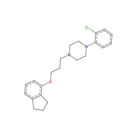 Clc1ccccc1N1CCN(CCCOc2cccc3c2CCC3)CC1